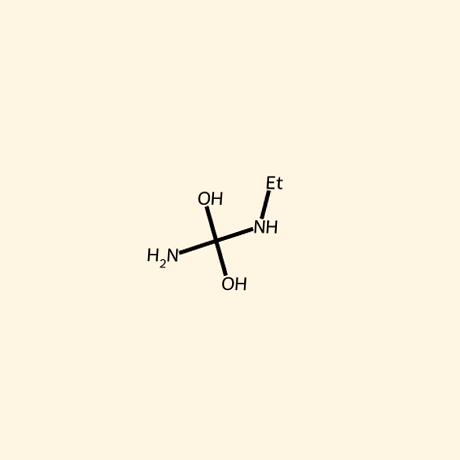 CCNC(N)(O)O